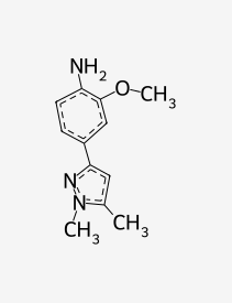 COc1cc(-c2cc(C)n(C)n2)ccc1N